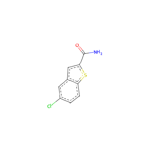 NC(=O)c1cc2cc(Cl)ccc2s1